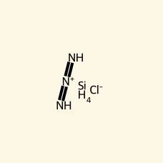 N=[N+]=N.[Cl-].[SiH4]